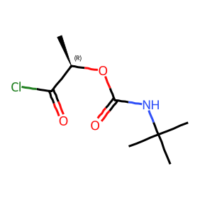 C[C@@H](OC(=O)NC(C)(C)C)C(=O)Cl